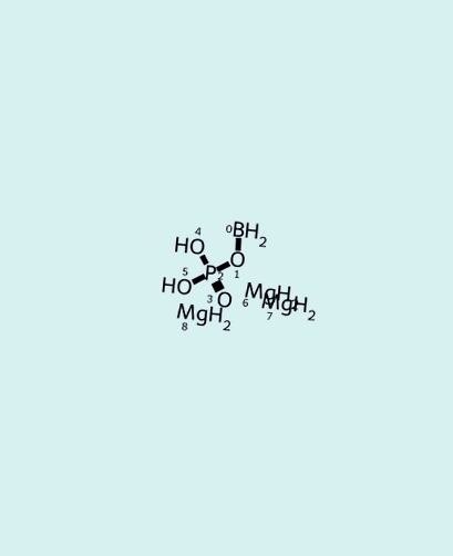 BOP(=O)(O)O.[MgH2].[MgH2].[MgH2]